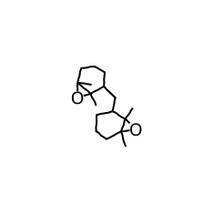 CC12CCCC(CC3CCCC4(C)OC34C)C1(C)O2